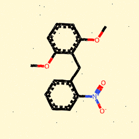 COc1cccc(OC)c1Cc1cc[c]cc1[N+](=O)[O-]